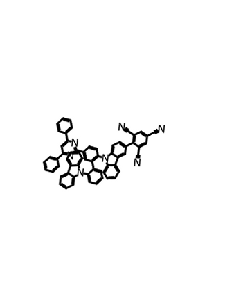 N#Cc1cc(C#N)c(-c2ccc3c(c2)c2ccccc2n3-c2ccc(-c3nc(-c4ccccc4)cc(-c4ccccc4)n3)cc2-c2ccccc2-n2c3ccccc3c3ccccc32)c(C#N)c1